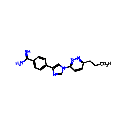 N=C(N)c1ccc(-c2cn(-c3ccc(CCC(=O)O)nn3)cn2)cc1